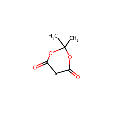 CC1(C)OC(=O)[C]C(=O)O1